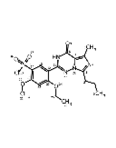 CCCc1nc(C)c2c(=O)[nH]c(-c3cc(S(=O)(=O)Cl)c(OC)cc3OCC)nn12